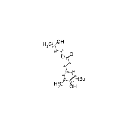 Cc1cc(CCC(=O)OCCC(C)O)cc(C(C)(C)C)c1O